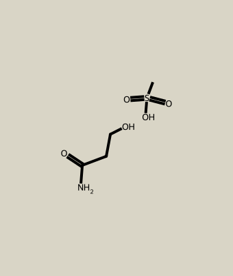 CS(=O)(=O)O.NC(=O)CCO